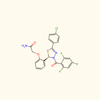 NC(=O)COc1ccccc1[C@H]1SC(c2ccc(Cl)cc2)=NN1C(=O)c1c(F)cc(F)cc1F